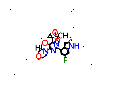 CS(=O)(=O)C1(c2nc(-c3cc(F)cc4[nH]ccc34)nc3c2OC[C@@H]2COCCN32)CC1